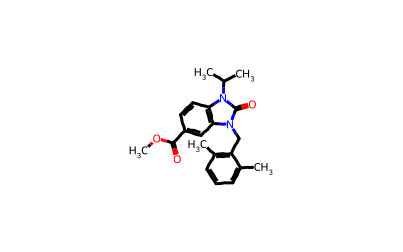 COC(=O)c1ccc2c(c1)n(Cc1c(C)cccc1C)c(=O)n2C(C)C